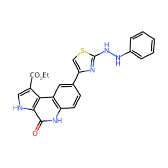 CCOC(=O)c1c[nH]c2c(=O)[nH]c3ccc(-c4csc(NNc5ccccc5)n4)cc3c12